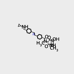 CNC(=O)C(C(=O)NO)N(C)C(=O)c1ccc(/C=C/c2ccc(CNC3CC3)cc2)cc1